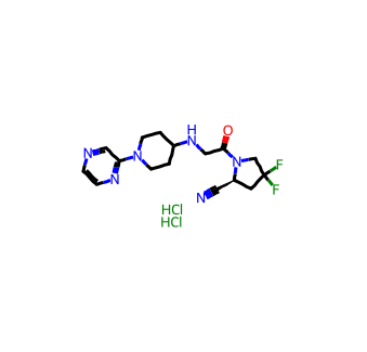 Cl.Cl.N#C[C@@H]1CC(F)(F)CN1C(=O)CNC1CCN(c2cnccn2)CC1